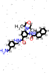 CC1COCC(C)N1c1ccc(C(=O)NCc2cccc(CN)c2)cc1NC(=O)c1ccc2ccccc2c1